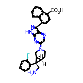 NC[C@]1(c2ccccc2F)[C@@H]2CCN(c3cnc4c(-c5ccc(C(=O)O)c6ccccc56)n[nH]c4n3)C[C@@H]21